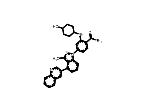 Cc1nn(-c2ccc(C(N)=O)c(NC3CCC(O)CC3)c2)c2cccc(-c3cnc4ccccc4c3)c12